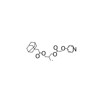 [CH2]C(COC(=O)COc1ccncc1)COC(=O)CC12CC3CC(CC(C3)C1)C2